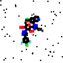 Cc1nc([C@@H]2O[C@H](CO)[C@H](O)[C@H](n3cc(-c4cc(F)c(Cl)c(F)c4)nn3)[C@H]2O)n(-c2cc(Cl)cc3ccncc23)n1